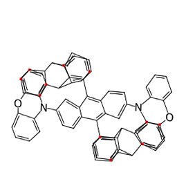 c1ccc2c(c1)Oc1ccccc1N2c1ccc2c(-c3cccc4c3C3c5ccccc5C4c4ccccc43)c3cc(N4c5ccccc5Oc5ccccc54)ccc3c(-c3cccc4c3C3c5ccccc5C4c4ccccc43)c2c1